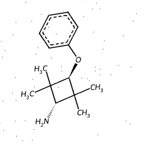 CC1(C)[C@H](N)C(C)(C)[C@H]1Oc1ccccc1